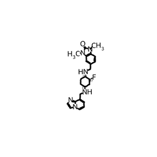 Cn1c(=O)n(C)c2cc(CN[C@H]3CC[C@H](NCc4cccn5ccnc45)C[C@@H]3F)ccc21